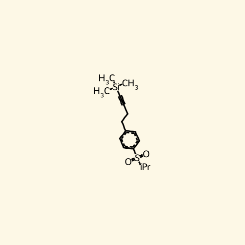 CC(C)S(=O)(=O)c1ccc(CCC#C[Si](C)(C)C)cc1